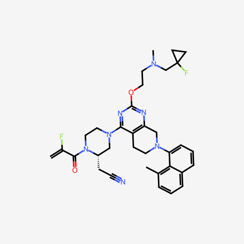 C=C(F)C(=O)N1CCN(c2nc(OCCN(C)CC3(F)CC3)nc3c2CCN(c2cccc4cccc(C)c24)C3)C[C@@H]1CC#N